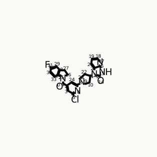 O=C(c1cc(Cl)nc(N2CCC(n3c(=O)[nH]c4ncccc43)CC2)c1)N1CCc2cc(F)ccc21